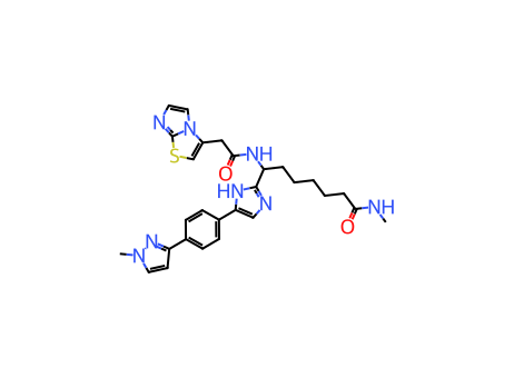 CNC(=O)CCCCCC(NC(=O)Cc1csc2nccn12)c1ncc(-c2ccc(-c3ccn(C)n3)cc2)[nH]1